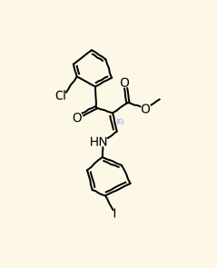 COC(=O)/C(=C/Nc1ccc(I)cc1)C(=O)c1ccccc1Cl